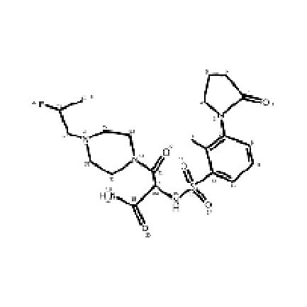 Cc1c(N2CCCC2=O)cccc1S(=O)(=O)N[C@@H](C(N)=O)C(=O)N1CCN(CC(F)F)CC1